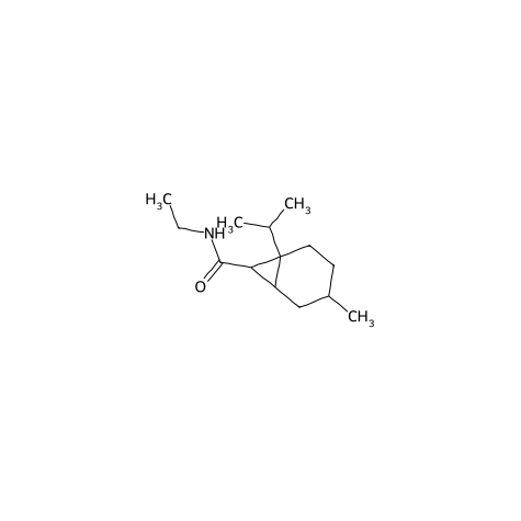 CCNC(=O)C1C2CC(C)CCC21C(C)C